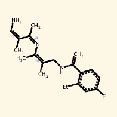 C=C(NC\C(C)=C(C)/N=C(C)\C(C)=C/N)c1ccc(F)cc1CC